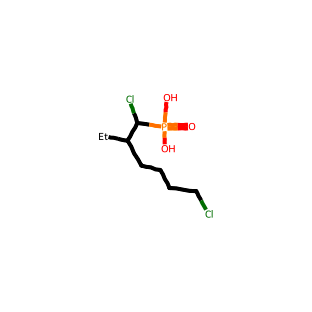 CCC(CCCCCl)C(Cl)P(=O)(O)O